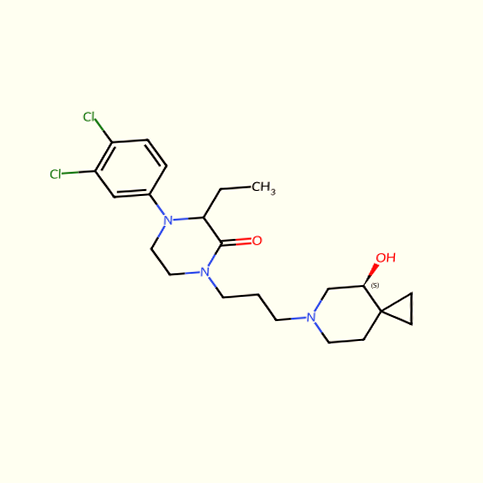 CCC1C(=O)N(CCCN2CCC3(CC3)[C@H](O)C2)CCN1c1ccc(Cl)c(Cl)c1